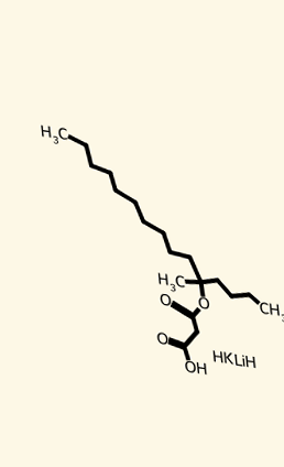 CCCCCCCCCCC(C)(CCCC)OC(=O)CC(=O)O.[KH].[LiH]